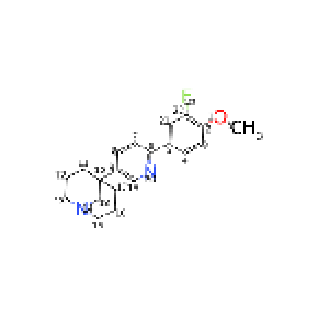 COc1ccc(-c2ccc(C34CCCN(CCC3)C4)cn2)cc1F